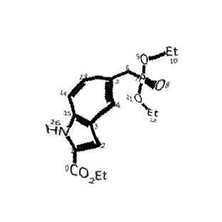 CCOC(=O)c1cc2cc(CP(=O)(OCC)OCC)ccc2[nH]1